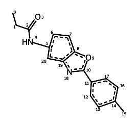 CCC(=O)Nc1ccc2oc(-c3ccc(C)cc3)nc2c1